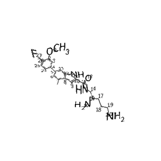 COc1cc(-c2ccc3cc(C(=O)NC[C@@H](N)CCCN)[nH]c3c2)ccc1F